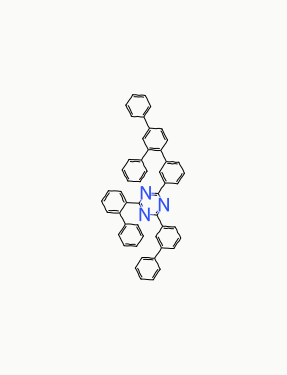 c1ccc(-c2cccc(-c3nc(-c4cccc(-c5ccc(-c6ccccc6)cc5-c5ccccc5)c4)nc(-c4ccccc4-c4ccccc4)n3)c2)cc1